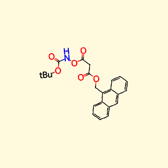 CC(C)(C)OC(=O)NOC(=O)CC(=O)OCc1c2ccccc2cc2ccccc12